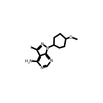 COC1CCC(n2nc(I)c3c(N)ncnc32)CC1